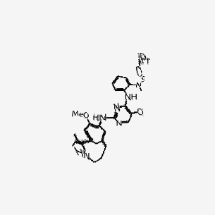 COc1cc2c(cc1Nc1ncc(Cl)c(Nc3ccccc3N(C)SOC(C)C)n1)CCCNC2(C)C